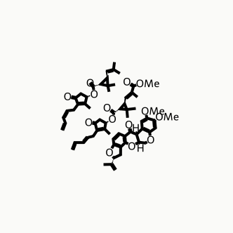 C=C(C)[C@H]1Cc2c(ccc3c2O[C@@H]2COc4cc(OC)c(OC)cc4[C@@H]2C3=O)O1.C=C/C=C/CC1=C(C)[C@@H](OC(=O)[C@@H]2[C@@H](/C=C(\C)C(=O)OC)C2(C)C)CC1=O.C=C/C=C\CC1=C(C)[C@@H](OC(=O)[C@@H]2[C@@H](C=C(C)C)C2(C)C)CC1=O